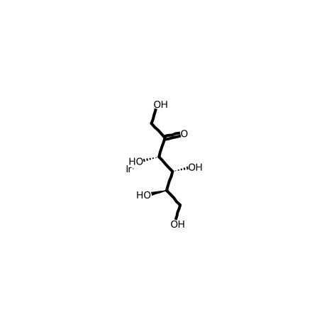 O=C(CO)[C@@H](O)[C@H](O)[C@H](O)CO.[Ir]